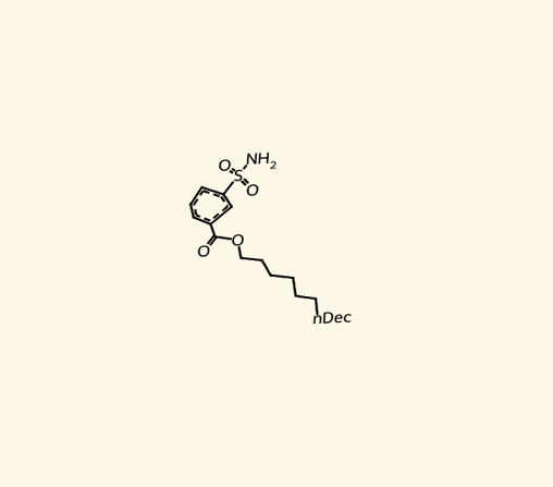 CCCCCCCCCCCCCCCCOC(=O)c1cccc(S(N)(=O)=O)c1